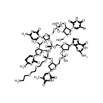 COC1[C@@H](OP(=O)(S)OC[C@H]2O[C@@H](n3ccc(N)nc3=O)C[C@H]2OP(=O)(S)OC[C@H]2O[C@@H](n3cnc4c(=O)[nH]c(N)nc43)C[C@H]2OP(=O)(S)OC[C@H]2O[C@@H](n3cc(C)c(=O)[nH]c3=O)C[C@H]2OP(=S)(OCCOCCOCCN)OC[C@H]2O[C@@H](n3ccc(N)nc3=O)C[C@H]2C(C)C)[C@@H](CO)O[C@H]1n1cc(Br)c(=O)[nH]c1=O